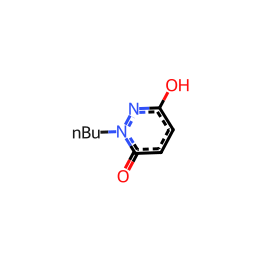 CCCCn1nc(O)ccc1=O